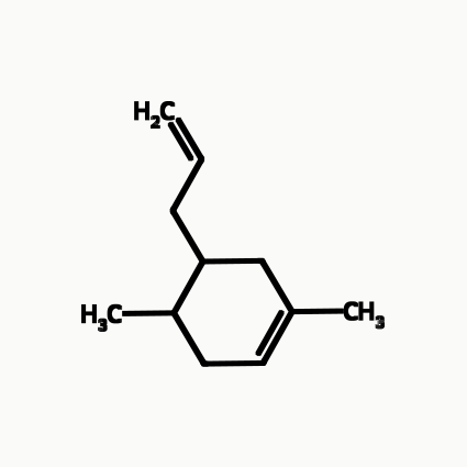 C=CCC1CC(C)=CCC1C